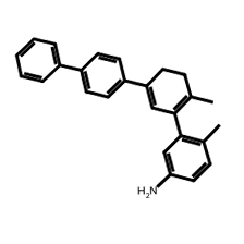 CC1=C(c2cc(N)ccc2C)C=C(c2ccc(-c3ccccc3)cc2)CC1